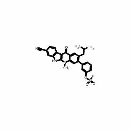 CC(C)Cc1cc2c(=O)c3c4ccc(C#N)cc4[nH]c3n(C)c2cc1-c1cccc(OS(=O)(=O)F)c1